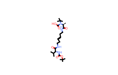 CC(C)[C@H](NC(=O)OC(C)(C)C)C(=O)NCC/C=C/CCNC(=O)[C@H](C)N(C(=O)O)C(C)(C)C